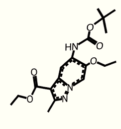 CCOC(=O)c1c(C)nn2cc(OCC)c(NC(=O)OC(C)(C)C)cc12